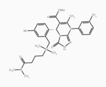 COC(=O)C1=C(C)N(c2cccc(C(F)(F)F)c2)c2n[nH]c(=O)n2[C@@H]1c1ccc(C#N)cc1C[N+](C)(C)CCCC(=O)N(C)C